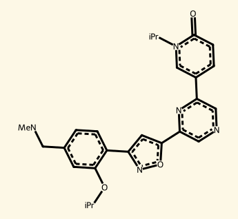 CNCc1ccc(-c2cc(-c3cncc(-c4ccc(=O)n(C(C)C)c4)n3)on2)c(OC(C)C)c1